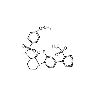 COc1ccc(S(=O)(=O)NC2CCCN(c3ccc(-c4ccccc4S(C)(=O)=O)cc3F)C2=O)cc1